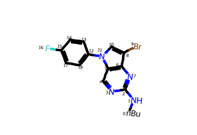 CCCCNc1ncc2c(n1)c(Br)cn2-c1ccc(F)cc1